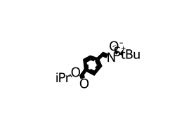 CC(C)OC(=O)c1ccc(/C=N/[S+]([O-])C(C)(C)C)cc1